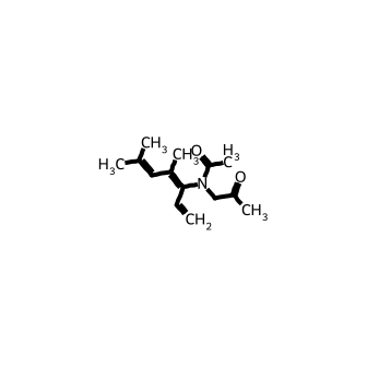 C=C/C(=C(/C)C=C(C)C)N(CC(C)=O)C(C)=O